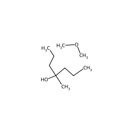 CCCC(C)(O)CCC.COC